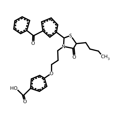 CCCCC1SC(c2cccc(C(=O)c3ccccc3)c2)N(CCCOc2ccc(C(=O)O)cc2)C1=O